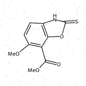 COC(=O)c1c(OC)ccc2[nH]c(=S)oc12